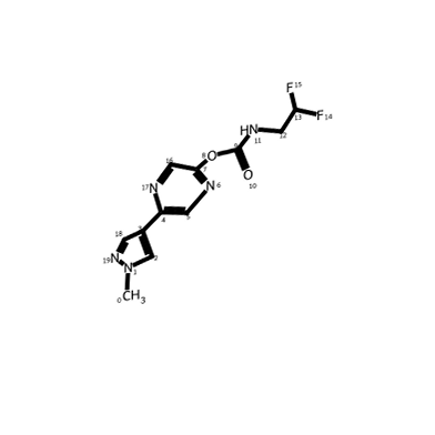 Cn1cc(-c2cnc(OC(=O)NCC(F)F)cn2)cn1